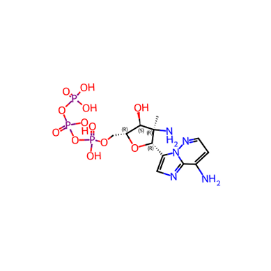 C[C@@]1(N)[C@H](O)[C@@H](COP(=O)(O)OP(=O)(O)OP(=O)(O)O)O[C@H]1c1cnc2c(N)ccnn12